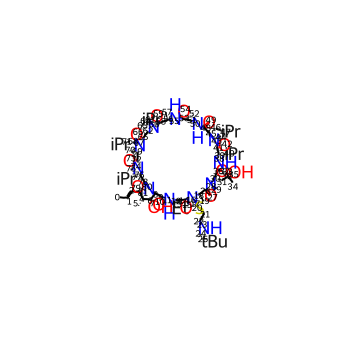 C/C=C/C[C@@H](C)[C@@H](O)[C@H]1C(=O)N[C@@H](CC)C(=O)N(C)[C@H](CSCCNCC(C)(C)C)C(=O)N(C)[C@@H](CC(C)(C)O)C(=O)N[C@@H](C(C)C)C(=O)N(C)[C@@H](CC(C)C)C(=O)N[C@@H](C)C(=O)N[C@H](C)C(=O)N(C)[C@@H](CC(C)C)C(=O)N(C)[C@@H](CC(C)C)C(=O)N(C)[C@@H](C(C)C)C(=O)N1C